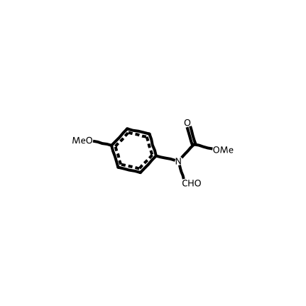 COC(=O)N(C=O)c1ccc(OC)cc1